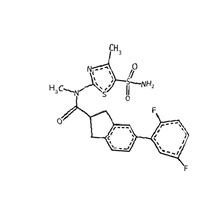 Cc1nc(N(C)C(=O)C2Cc3ccc(-c4cc(F)ccc4F)cc3C2)sc1S(N)(=O)=O